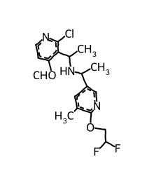 Cc1cc(C(C)NC(C)c2c(C=O)ccnc2Cl)cnc1OCC(F)F